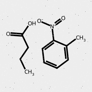 CCCC(=O)O.Cc1ccccc1[N+](=O)[O-]